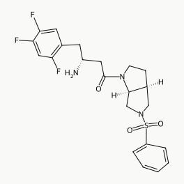 N[C@@H](CC(=O)N1CC[C@H]2CN(S(=O)(=O)c3ccccc3)C[C@H]21)Cc1cc(F)c(F)cc1F